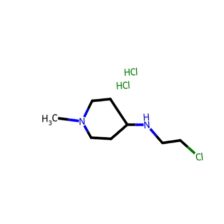 CN1CCC(NCCCl)CC1.Cl.Cl